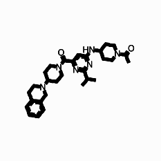 CC(=O)N1CCC(Nc2cc(C(=O)N3CCC(N4CCc5ccccc5C4)CC3)nc(C(C)C)n2)CC1